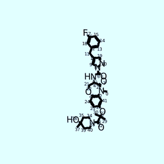 CN1C(=O)[C@@H](NC(=O)n2cc(Cc3cccc(F)c3)cn2)COc2ccc(OC(C)(C)C(=O)N3CCC(C)(O)CC3)cc21